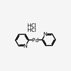 Cl.Cl.c1cc[c]([Pd][c]2ccccn2)nc1